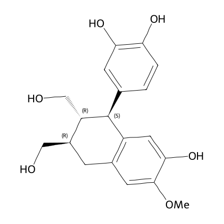 COc1cc2c(cc1O)[C@H](c1ccc(O)c(O)c1)[C@@H](CO)[C@H](CO)C2